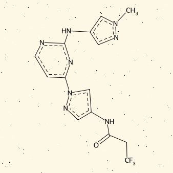 Cn1cc(Nc2nccc(-n3cc(NC(=O)CC(F)(F)F)cn3)n2)cn1